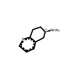 CC(=O)N[C@@H]1CCc2ncccc2C1